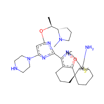 C[C@H](Oc1cc(N2CCNCC2)nc(-c2noc3c2CCC[C@@]32CCCc3sc(N)c(C#N)c32)n1)[C@@H]1CCCN1C